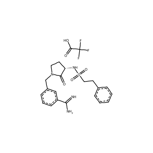 N=C(N)c1cccc(CN2CC[C@H](NS(=O)(=O)CCc3ccccc3)C2=O)c1.O=C(O)C(F)(F)F